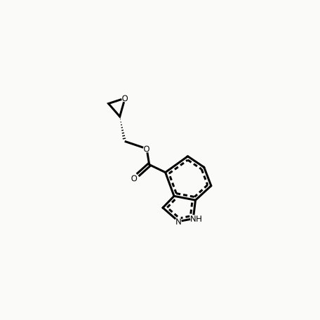 O=C(OC[C@@H]1CO1)c1cccc2[nH]ncc12